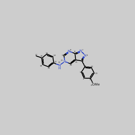 COc1ccc(-c2nnc3ncn(Nc4ccc(C)cc4)cc2-3)cc1